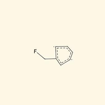 FCc1[c]cc[c]c1